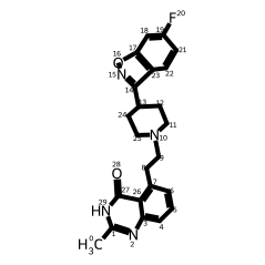 Cc1nc2cccc(CCN3CCC(c4noc5cc(F)ccc45)CC3)c2c(=O)[nH]1